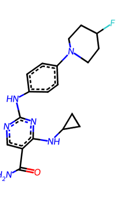 NC(=O)c1cnc(Nc2ccc(N3CCC(F)CC3)cc2)nc1NC1CC1